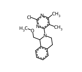 COCC1c2ccccc2CCN1c1nc(Cl)nc(C)c1C